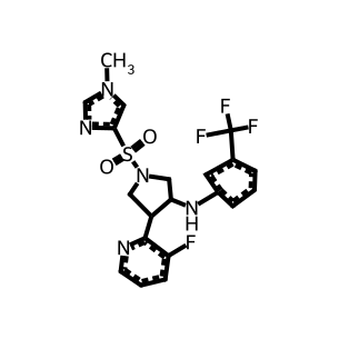 Cn1cnc(S(=O)(=O)N2CC(Nc3cccc(C(F)(F)F)c3)C(c3ncccc3F)C2)c1